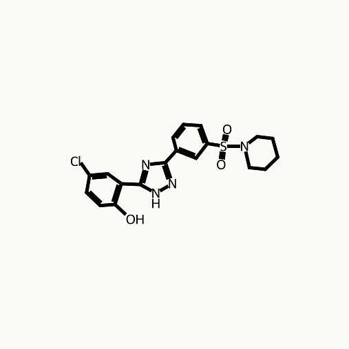 O=S(=O)(c1cccc(-c2n[nH]c(-c3cc(Cl)ccc3O)n2)c1)N1CCCCC1